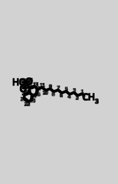 CCCCCCCCCCCCc1cc(S(=O)(=O)O)c2ccccc2c1